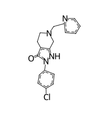 O=c1c2c([nH]n1-c1ccc(Cl)cc1)CN(Cc1ccccn1)CC2